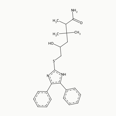 CC(C(N)=O)C(C)(C)CC(O)CSc1nc(-c2ccccc2)c(-c2ccccc2)[nH]1